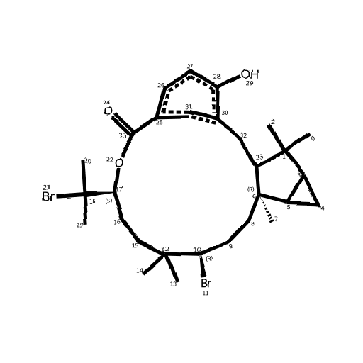 CC1(C)C2CC2[C@@]2(C)CC[C@@H](Br)C(C)(C)CC[C@@H](C(C)(C)Br)OC(=O)c3ccc(O)c(c3)CC12